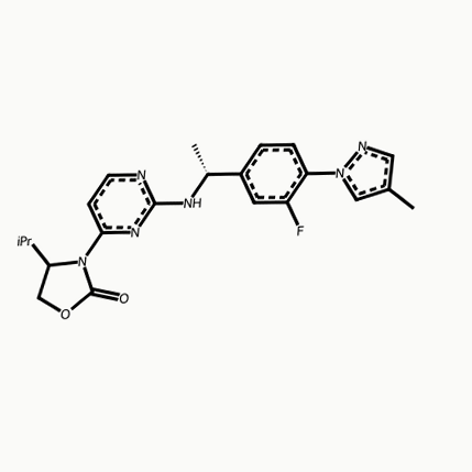 Cc1cnn(-c2ccc([C@@H](C)Nc3nccc(N4C(=O)OCC4C(C)C)n3)cc2F)c1